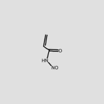 C=CC(=O)NN=O